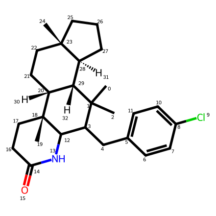 CC1(C)C(Cc2ccc(Cl)cc2)C2NC(=O)CC[C@]2(C)[C@@H]2CC[C@]3(C)CCC[C@H]3[C@@H]21